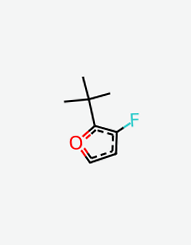 CC(C)(C)c1occc1F